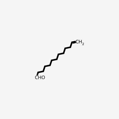 C=CCCCCCCCCCCC=O